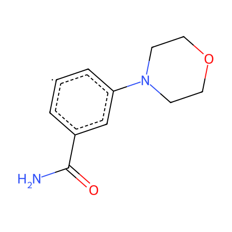 NC(=O)c1c[c]cc(N2CCOCC2)c1